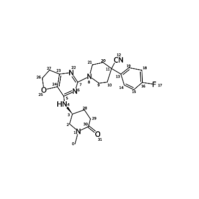 CN1C[C@@H](Nc2nc(N3CCC(C#N)(c4ccc(F)cc4)CC3)nc3c2OCC3)CCC1=O